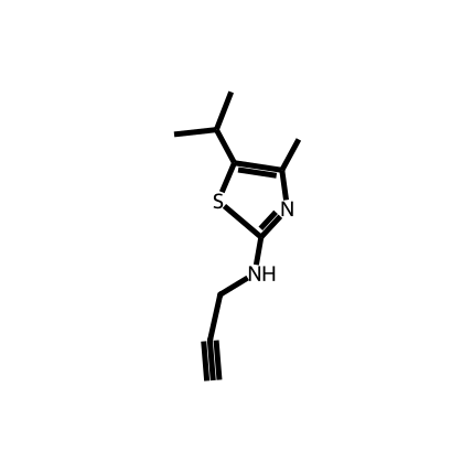 C#CCNc1nc(C)c(C(C)C)s1